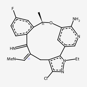 CCn1nc(Cl)c2c1-c1cnc(N)c(c1)O[C@H](C)c1cc(F)ccc1C(=N)/C(=C\NC)C2